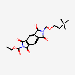 CCOC(=O)n1c(=O)c2cc3c(=O)n(COCC[Si](C)(C)C)c(=O)c3cc2c1=O